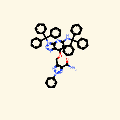 NC(=O)c1nn(-c2ccccc2)nc1COc1cc(NC(c2ccccc2)(c2ccccc2)c2ccccc2)nc2c1nnn2C(c1ccccc1)(c1ccccc1)c1ccccc1